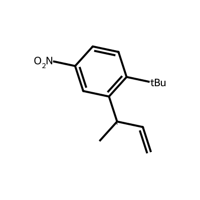 C=C[C](C)c1cc([N+](=O)[O-])ccc1C(C)(C)C